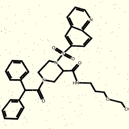 CCOCCCNC(=O)C1CN(C(=O)C(c2ccccc2)c2ccccc2)CCN1S(=O)(=O)c1ccc2ncccc2c1